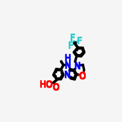 CC(Nc1nccc2c1N(Cc1cccc(C(F)(F)F)c1)CCO2)c1ccc(C(=O)O)cc1